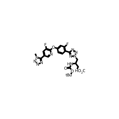 Cn1nnnc1-c1cnc(Oc2ccc(-c3nnn(CC(CC(=O)O)NC(=O)OC(C)(C)C)n3)c(F)c2)c(F)c1